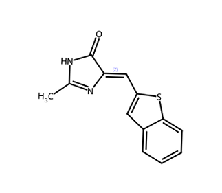 CC1=N/C(=C\c2cc3ccccc3s2)C(=O)N1